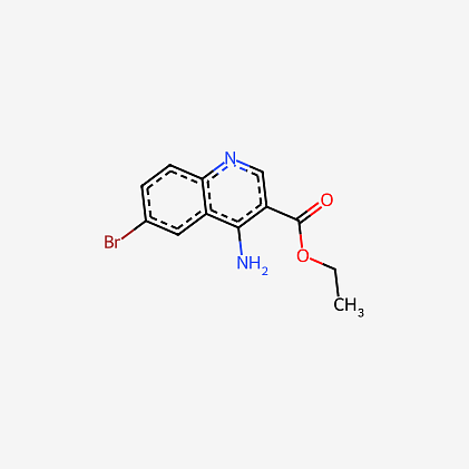 CCOC(=O)c1cnc2ccc(Br)cc2c1N